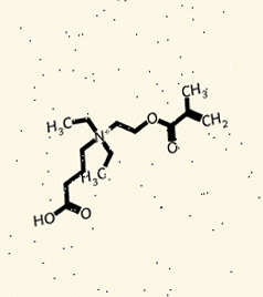 C=C(C)C(=O)OCC[N+](CC)(CC)CCCC(=O)O